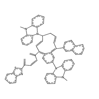 C=C(/C=C\C(=C)c1nc2ccccc2s1)C1=c2\ccc(N3c4ccccc4N(C)c4ccccc43)c\c2=C(c2ccc3ccccc3c2)\C=C\CC(N2c3ccccc3N(C)c3ccccc32)\C=C\1